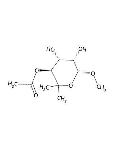 CO[C@@H]1OC(C)(C)[C@@H](OC(C)=O)[C@H](O)[C@@H]1O